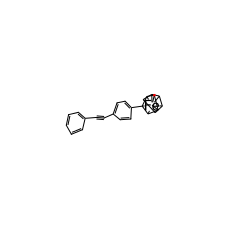 C(#Cc1ccc([C]23[CH]4[CH]5[CH]6[CH]2[Fe]56432789[CH]3[CH]2[CH]7[CH]8[CH]39)cc1)c1ccccc1